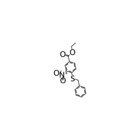 CCOC(=O)c1ccc(SCc2ccccc2)c([N+](=O)[O-])c1